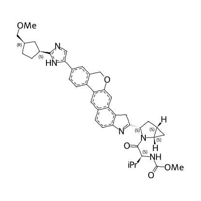 COC[C@@H]1CC[C@H](c2ncc(-c3ccc4c(c3)COc3cc5c6c(ccc5cc3-4)N=C([C@@H]3C[C@@H]4C[C@@H]4N3C(=O)[C@@H](NC(=O)OC)C(C)C)C6)[nH]2)C1